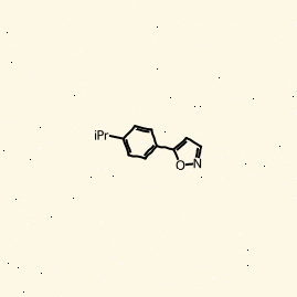 CC(C)c1ccc(-c2ccno2)cc1